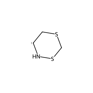 [C]1CSCSN1